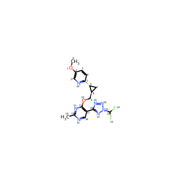 COc1ccc([C@@H]2C[C@H]2COc2nc(C)ncc2-c2nnn(C(F)F)n2)nc1